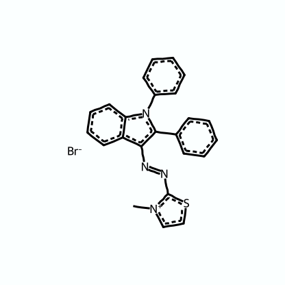 C[n+]1ccsc1N=Nc1c(-c2ccccc2)n(-c2ccccc2)c2ccccc12.[Br-]